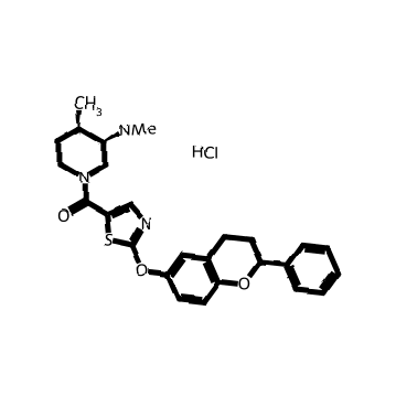 CN[C@H]1CN(C(=O)c2cnc(Oc3ccc4c(c3)CCC(c3ccccc3)O4)s2)CC[C@H]1C.Cl